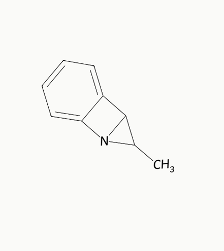 CC1C2c3ccccc3N12